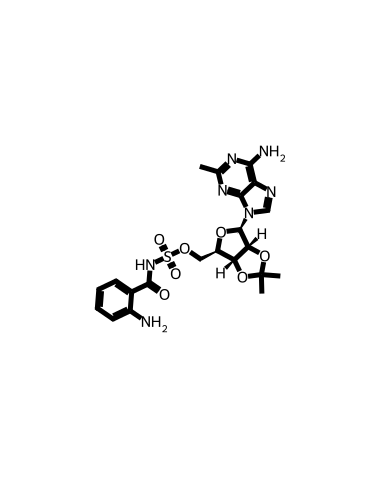 Cc1nc(N)c2ncn([C@@H]3O[C@H](COS(=O)(=O)NC(=O)c4ccccc4N)[C@H]4OC(C)(C)O[C@H]43)c2n1